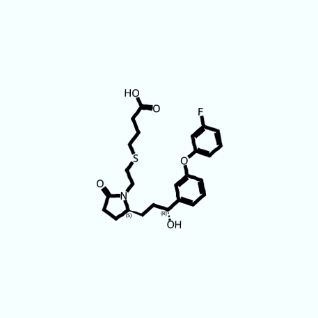 O=C(O)CCCSCCN1C(=O)CC[C@@H]1CC[C@@H](O)c1cccc(Oc2cccc(F)c2)c1